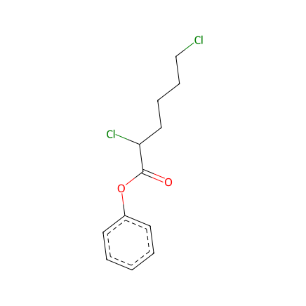 O=C(Oc1ccccc1)C(Cl)CCCCCl